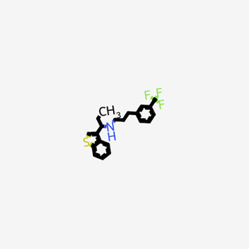 CCC(NCCCc1cccc(C(F)(F)F)c1)c1csc2ccccc12